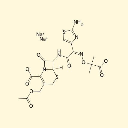 CC(=O)OCC1=C(C(=O)[O-])N2C(=O)[C@H](NC(=O)/C(=N\OC(C)(C)C(=O)[O-])c3csc(N)n3)[C@H]2SC1.[Na+].[Na+]